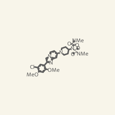 CNS(=O)(=O)N(C1CCN(c2ccn3cc(-c4cc(Cl)c(OC)cc4OC)nc3c2)CC1)S(=O)(=O)NC